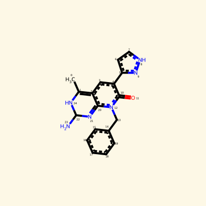 CC1=c2cc(-c3cc[nH]n3)c(=O)n(Cc3ccccc3)c2=NC(N)N1